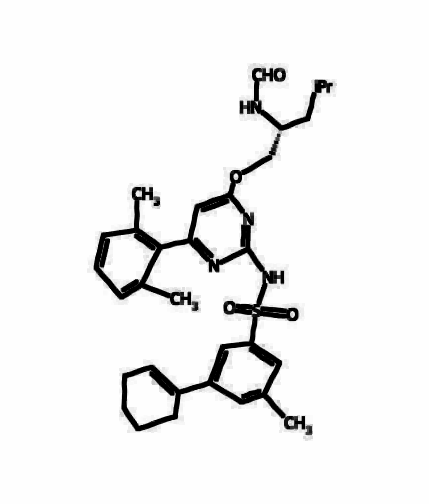 Cc1cc(C2=CCCCC2)cc(S(=O)(=O)Nc2nc(OC[C@@H](CC(C)C)NC=O)cc(-c3c(C)cccc3C)n2)c1